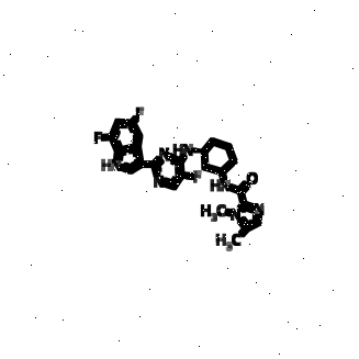 Cc1cnc(C(=O)NC2CCC[C@H](Nc3nc(-c4c[nH]c5c(F)cc(F)cc45)ncc3F)C2)n1C